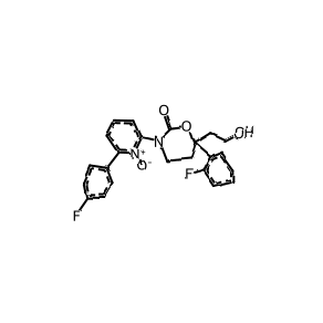 O=C1OC(CCO)(c2ccccc2F)CCN1c1cccc(-c2ccc(F)cc2)[n+]1[O-]